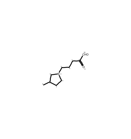 CC1CCN(CCCC(=O)C=O)C1